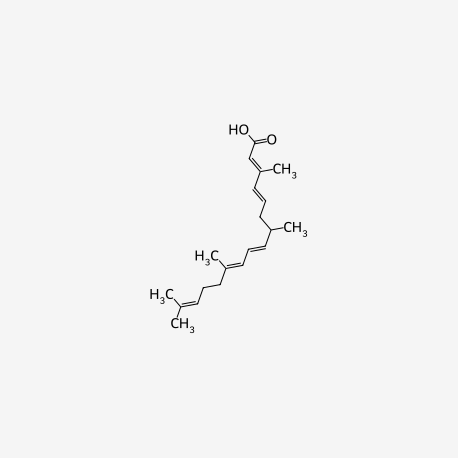 CC(C)=CCC/C(C)=C/C=CC(C)C/C=C/C(C)=C/C(=O)O